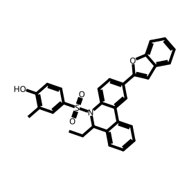 CCC1c2ccccc2-c2cc(-c3cc4ccccc4o3)ccc2N1S(=O)(=O)c1ccc(O)c(C)c1